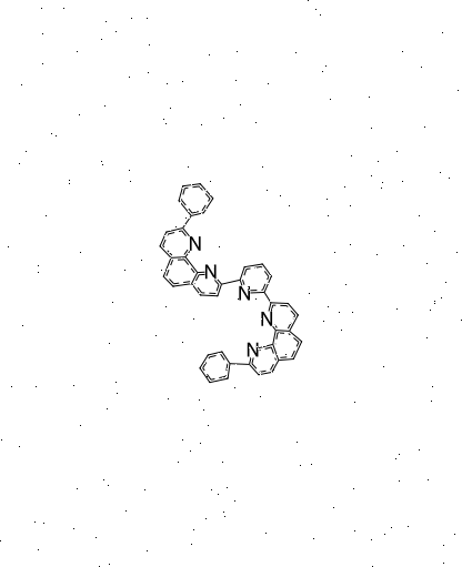 c1ccc(-c2ccc3ccc4ccc(-c5cccc(-c6ccc7ccc8ccc(-c9ccccc9)nc8c7n6)n5)nc4c3n2)cc1